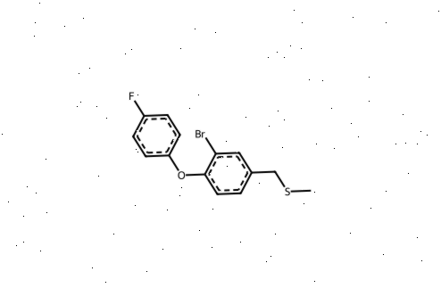 CSCc1ccc(Oc2ccc(F)cc2)c(Br)c1